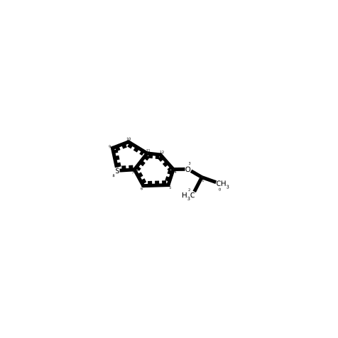 CC(C)Oc1ccc2sccc2c1